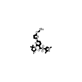 Cc1nn(C)cc1S(=O)(=O)C(=O)c1ccc(-n2ccc(OCC(C)(C)C)n2)nc1N1C[C@@H](C)CC1(C)C